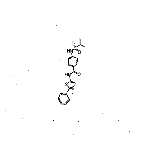 CC(C)S(=O)(=O)Nc1ccc(C(=O)Nc2nnc(-c3ccccc3)s2)cc1